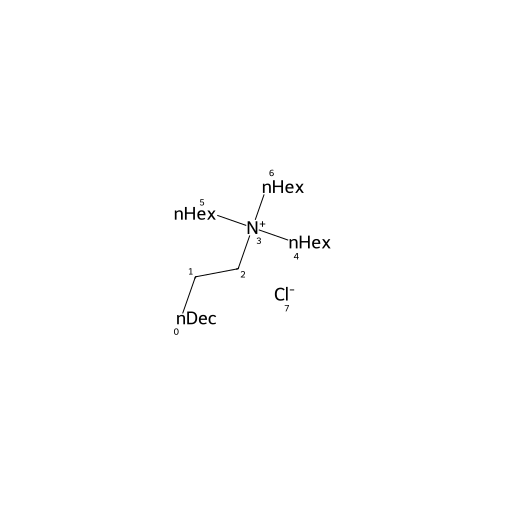 CCCCCCCCCCCC[N+](CCCCCC)(CCCCCC)CCCCCC.[Cl-]